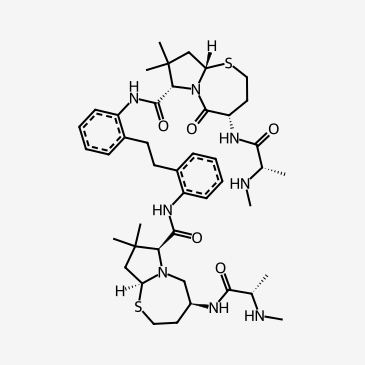 CN[C@@H](C)C(=O)N[C@H]1CCS[C@H]2CC(C)(C)[C@@H](C(=O)Nc3ccccc3CCc3ccccc3NC(=O)[C@H]3N4C(=O)[C@@H](NC(=O)[C@H](C)NC)CCS[C@H]4CC3(C)C)N2C1